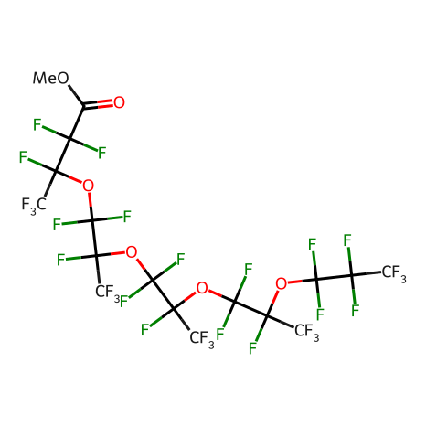 COC(=O)C(F)(F)C(F)(OC(F)(F)C(F)(OC(F)(F)C(F)(OC(F)(F)C(F)(OC(F)(F)C(F)(F)C(F)(F)F)C(F)(F)F)C(F)(F)F)C(F)(F)F)C(F)(F)F